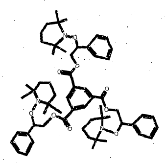 CC1(C)CCCC(C)(C)N1OC(COC(=O)c1cc(C(=O)OCC(ON2C(C)(C)CCCC2(C)C)c2ccccc2)cc(C(=O)OCC(ON2C(C)(C)CCCC2(C)C)c2ccccc2)c1)c1ccccc1